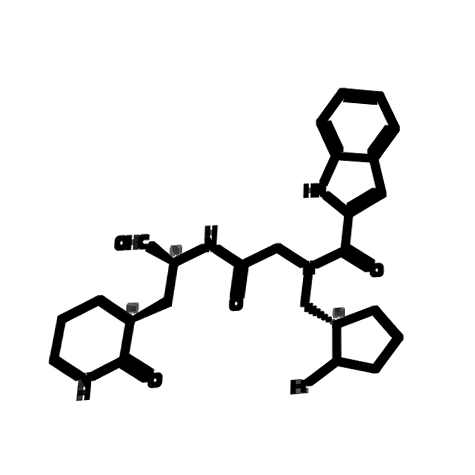 CCC1CCC[C@H]1CN(CC(=O)N[C@H](C=O)C[C@@H]1CCCNC1=O)C(=O)c1cc2ccccc2[nH]1